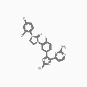 CC(C)(C)c1nc(-c2ccnc(N)n2)c(C2C=CC(F)=C(N3CCN(c4ccc(F)cc4Cl)C3=O)C2)s1